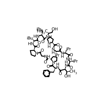 CC[C@H](C)[C@H](NC(=O)[C@@H]1CCCN1C(=O)CNC(=O)[C@@H]1CCCN1C(=O)[C@H](Cc1ccccc1)NC(=O)[C@@H](NC(=O)[C@@H](NC(=O)[C@@H](NC(=O)[C@@H](NC(=O)[C@@H]1CCCN1)C(C)C)C(C)C)C(C)C)[C@@H](C)O)C(=O)N[C@@H](CC(C)C)C(=O)N[C@@H](CO)C(=O)O